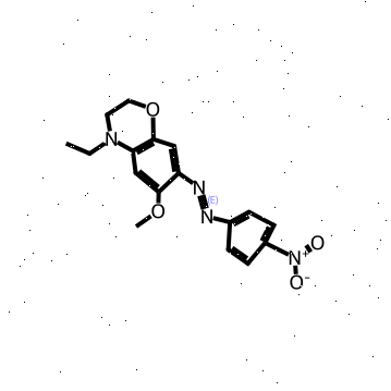 CCN1CCOc2cc(/N=N/c3ccc([N+](=O)[O-])cc3)c(OC)cc21